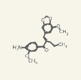 CCC/C(=C\c1cc(OC)c2c(c1)OCO2)C(=O)c1ccc(N)c(OC)c1